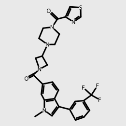 Cn1cc(-c2cccc(C(F)(F)F)c2)c2ccc(C(=O)N3CC(N4CCN(C(=O)c5cscn5)CC4)C3)cc21